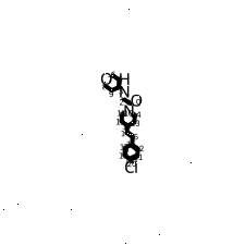 O=C(CNC1CCOCC1)N1CCC(/C=C/c2ccc(Cl)cc2)CC1